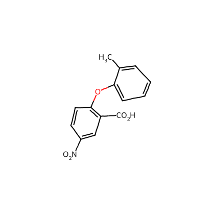 Cc1ccccc1Oc1ccc([N+](=O)[O-])cc1C(=O)O